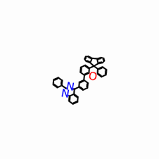 c1ccc(-c2nc(-c3cccc(-c4cccc5c4Oc4ccccc4C54c5ccccc5-c5ccccc54)c3)c3ccccc3n2)cc1